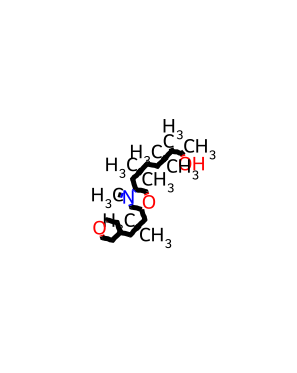 CC(O)C(C)C(C)(C)CCC(C)(C)CC1COC(CC(C)(C)CC2CCOCC2)CN1C